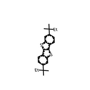 CCC(C)(C)c1ccc2c(c1)sc1c3ccc(C(C)(C)CC)cc3sc21